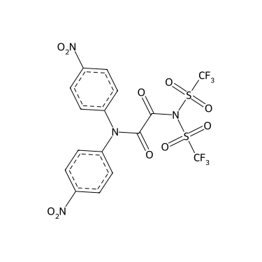 O=C(C(=O)N(S(=O)(=O)C(F)(F)F)S(=O)(=O)C(F)(F)F)N(c1ccc([N+](=O)[O-])cc1)c1ccc([N+](=O)[O-])cc1